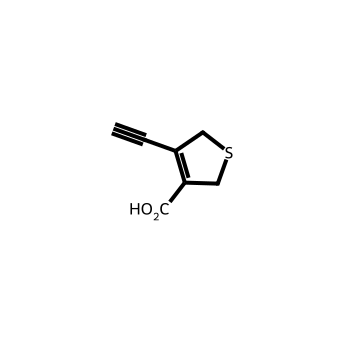 C#CC1=C(C(=O)O)CSC1